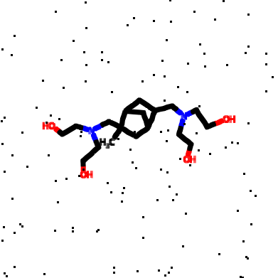 CC1(CN(CCO)CCO)CC2CC1CC2CN(CCO)CCO